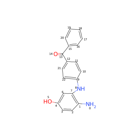 Nc1ccc(O)cc1Nc1ccc(C(=O)c2ccccc2)cc1